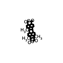 CC12CC(C)(C(=O)OC1=O)c1ccc3c4c(ccc2c14)C1CC3(C)c2ccc3c4c(ccc1c24)C(=O)OC3=O